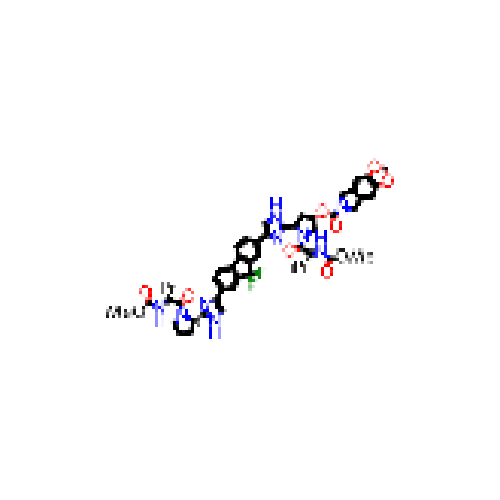 COC(=O)N[C@H](C(=O)N1CC(OC(=O)N2Cc3cc4c(cc3C2)OCO4)CC1c1nc(-c2ccc3c(c2)C(F)(F)c2cc(-c4c[nH]c([C@@H]5CCCN5C(=O)[C@@H](NC(=O)OC)C(C)C)n4)ccc2-3)c[nH]1)C(C)C